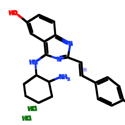 Cl.Cl.NC1CCCCC1Nc1nc(/C=C/c2ccc(Cl)cc2)nc2ccc(O)cc12